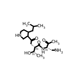 CC(=O)[C@H](CN)NC(=O)[C@@H](CC(=O)C1CNCCC1CC(C)C)[C@H](C)O